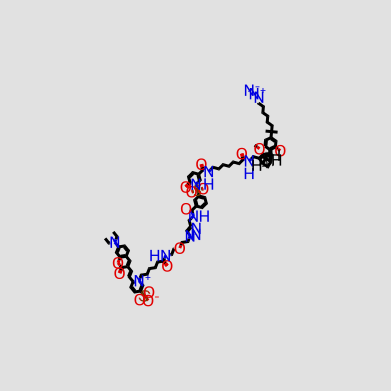 CCN(CC)c1ccc2cc(C=Cc3ccc(S(=O)(=O)[O-])c[n+]3CCCCCC(=O)NCCOCCn3cc(CNC(=O)c4cccc(S(=O)(=O)n5cc(C(=O)NCCCCCCC(=O)NCC6=C[C@H](c7c(OC)cc(C(C)(C)CCCCCCN=[N+]=[N-])cc7OC)[C@@H]7C[C@H]6C7(C)C)ccc5=O)c4)nn3)c(=O)oc2c1